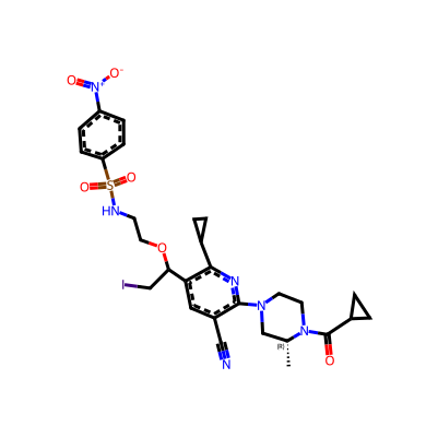 C[C@@H]1CN(c2nc(C3CC3)c(C(CI)OCCNS(=O)(=O)c3ccc([N+](=O)[O-])cc3)cc2C#N)CCN1C(=O)C1CC1